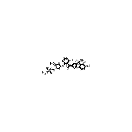 C[C@](N)(c1cccc(Cl)c1)c1csc(C(=O)c2cncnc2N[C@@H]2C[C@H](COS(N)(=O)=O)[C@@H](O)C2)c1